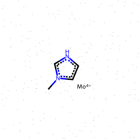 C[n+]1cc[nH]c1.[Mo+4]